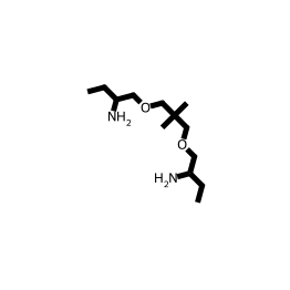 CCC(N)COCC(C)(C)COCC(N)CC